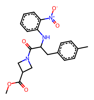 COC(=O)C1CN(C(=O)C(Cc2ccc(C)cc2)Nc2ccccc2[N+](=O)[O-])C1